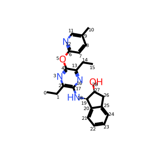 CCc1nc(Oc2ccc(C)cn2)c(CC)nc1N[C@@H]1c2ccccc2C[C@@H]1O